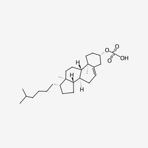 CC(C)CCCC[C@H]1CC[C@H]2[C@@H]3CC=C4C[C@@H](OS(=O)(=O)O)CC[C@]4(C)[C@H]3CC[C@]12C